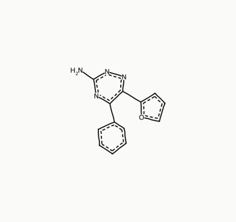 Nc1nnc(-c2ccco2)c(-c2ccccc2)n1